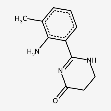 Cc1cccc(C2=NC(=O)CCN2)c1N